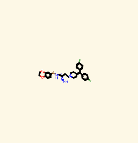 N=N/C(=C\NSc1ccc2c(c1)OCCO2)CCN1CCC(=C(c2ccc(F)cc2)c2ccc(F)cc2)CC1